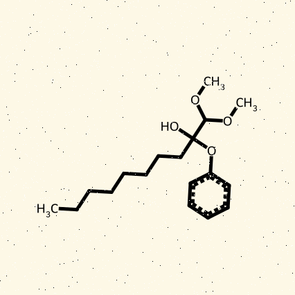 CCCCCCCCC(O)(Oc1ccccc1)C(OC)OC